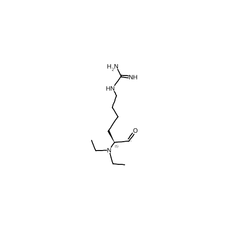 CCN(CC)[C@H]([C]=O)CCCCNC(=N)N